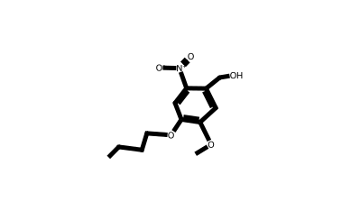 CCCCOc1cc([N+](=O)[O-])c(CO)cc1OC